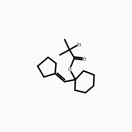 CCC(C)(C)C(=O)OC1(C=C2CCCC2)CCCCC1